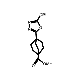 COC(=O)C12CCC(c3nnc(C(C)(C)C)o3)(CC1)CC2